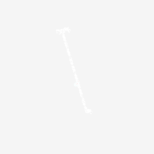 CCCCCCC=CCCCCCCCCCCCC(=O)OCCCCCCCCCCCCCCCCCCCCCCCCCCCCCCCCCC(C)CC